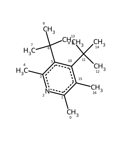 Cc1nc(C)c(C(C)(C)C)c(C(C)(C)C)c1C